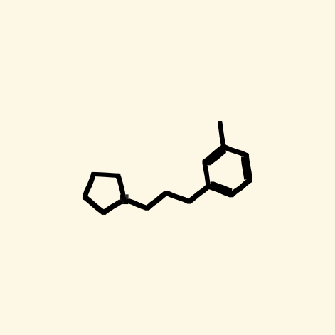 Cc1cccc(CCCN2CCCC2)c1